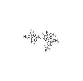 Cn1nc(C(F)(F)F)cc1S(=O)(=O)[C@@](C)(F)C1CCN(C(=O)OC(C)(C)C)CC1